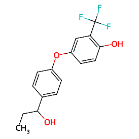 CCC(O)c1ccc(Oc2ccc(O)c(C(F)(F)F)c2)cc1